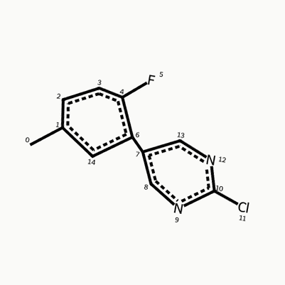 Cc1ccc(F)c(-c2cnc(Cl)nc2)c1